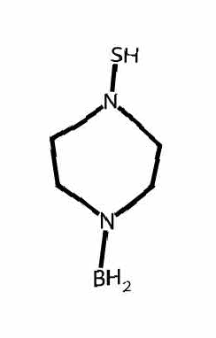 BN1CCN(S)CC1